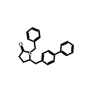 O=C1CCC(Cc2ccc(-c3ccccc3)cc2)N1Cc1ccccc1